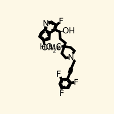 COc1ccc2ncc(F)c([C@H](O)CCC3(C(=O)O)CCN(CC#Cc4c(F)cc(F)cc4F)CC3)c2c1